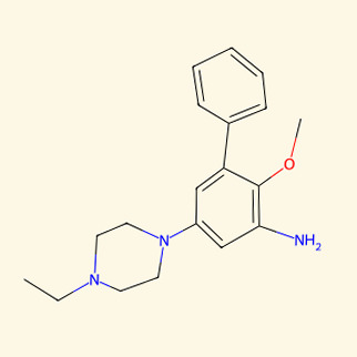 CCN1CCN(c2cc(N)c(OC)c(-c3ccccc3)c2)CC1